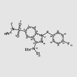 CCCN(C)S(=O)(=O)c1ccc2c(c1)c(N(CC)CC)nn2Cc1ccc(F)cc1